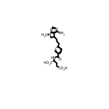 CN1CC(CCCc2ccc(C(=O)N[C@@H](CCC(=O)O)C(=O)O)cc2)c2c(N)ncnc21